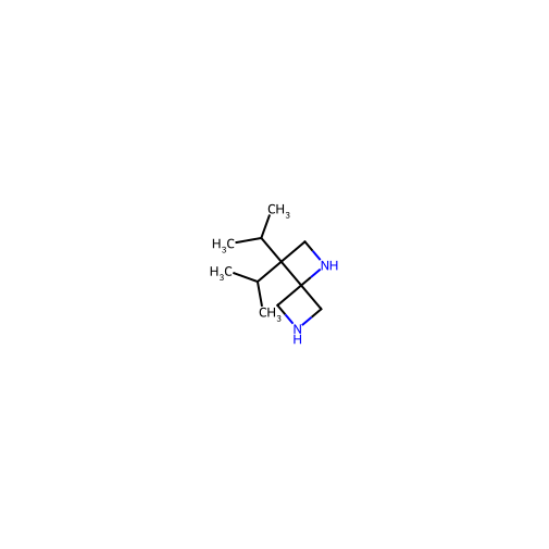 CC(C)C1(C(C)C)CNC12CNC2